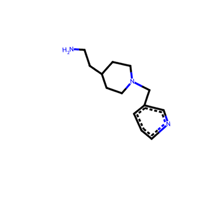 NCCC1CCN(Cc2cccnc2)CC1